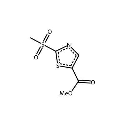 COC(=O)c1cnc(S(C)(=O)=O)s1